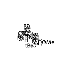 COC1CCN(C(=O)OC(C)(C)C)C(c2cnn3cc([C@@H](NC(=O)c4ccnn4C)C4CCC(F)(F)CC4)nc3n2)C1